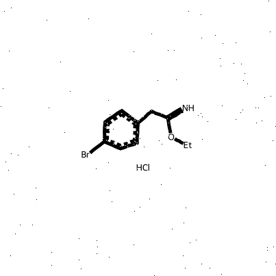 CCOC(=N)Cc1ccc(Br)cc1.Cl